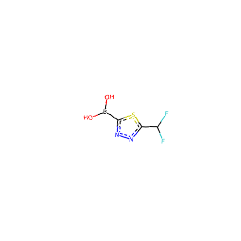 OB(O)c1nnc(C(F)F)s1